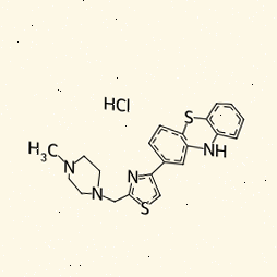 CN1CCN(Cc2nc(-c3ccc4c(c3)Nc3ccccc3S4)cs2)CC1.Cl